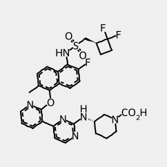 Cc1ccc2c(NS(=O)(=O)C[C@@H]3CCC3(F)F)c(F)ccc2c1Oc1ncccc1-c1ccnc(N[C@H]2CCCN(C(=O)O)C2)n1